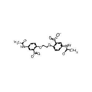 CC(=O)Nc1ccc(OCCOc2ccc(NC(C)=O)cc2[N+](=O)[O-])c([N+](=O)[O-])c1